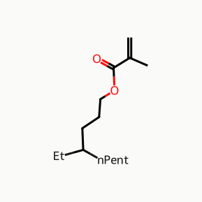 [CH2]CC(CCCCC)CCCOC(=O)C(=C)C